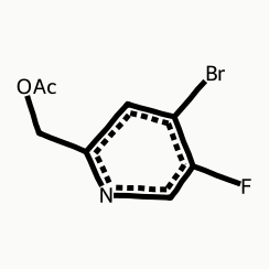 CC(=O)OCc1cc(Br)c(F)cn1